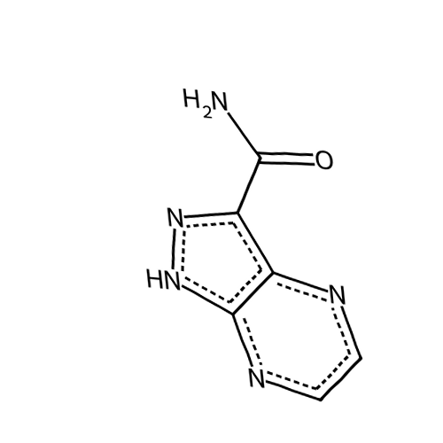 NC(=O)c1n[nH]c2nccnc12